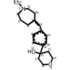 CCN1CCCC(=Cc2ccc(C3(O)CCOCC3)cc2)CC1